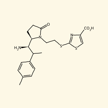 Cc1ccc(C(C)[C@@H](N)[C@H]2CCC(=O)N2CCSc2nc(C(=O)O)cs2)cc1